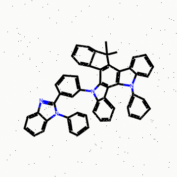 CC1(C)c2ccccc2-c2c1c1c3ccccc3n(-c3ccccc3)c1c1c3ccccc3n(-c3cccc(-c4nc5ccccc5n4-c4ccccc4)c3)c21